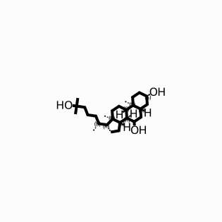 C[C@H](CCCC(C)(C)O)[C@H]1CC[C@H]2[C@@H]3C(O)C[C@H]4C[C@@H](O)CC[C@]4(C)[C@H]3CC[C@]12C